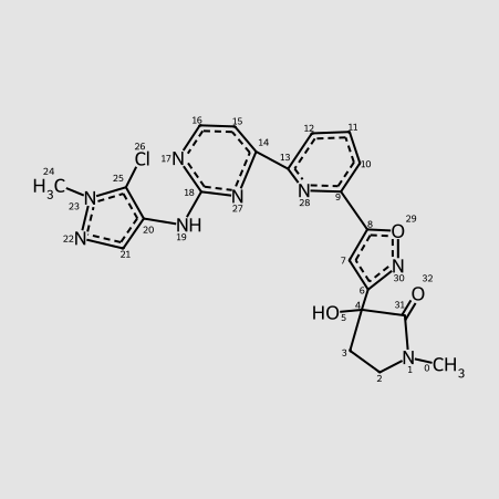 CN1CCC(O)(c2cc(-c3cccc(-c4ccnc(Nc5cnn(C)c5Cl)n4)n3)on2)C1=O